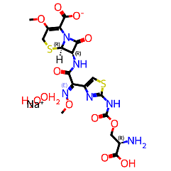 CO/N=C(/C(=O)N[C@@H]1C(=O)N2C(C(=O)[O-])=C(OC)CS[C@H]12)c1csc(NC(=O)OC[C@@H](N)C(=O)O)n1.O.O.[Na+]